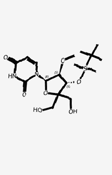 CO[C@@H]1[C@H](n2ccc(=O)[nH]c2=O)OC(CO)(CO)[C@H]1O[Si](C)(C)C(C)(C)C